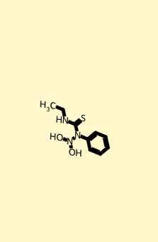 CCNC(=S)N(c1ccccc1)N(O)O